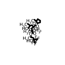 CCC(CC(C)(CC(C)(C)C(=O)OC(C)CC(O)(C(F)(F)F)C(F)(F)F)C(=O)OC1(CC)CCCC1)C(=O)O